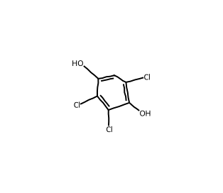 Oc1cc(Cl)c(O)c(Cl)c1Cl